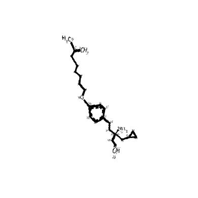 CC(C)CCCCCCOc1ccc(CC[C@@](N)(CO)CC2CC2)cc1